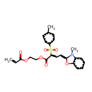 C=CC(=O)OCCOC(=O)/C(=C/C=C1\Oc2ccccc2N1C)S(=O)(=O)c1ccc(C)cc1